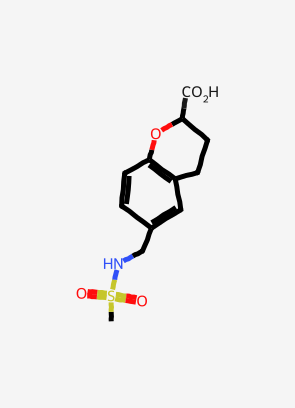 CS(=O)(=O)NCc1ccc2c(c1)CCC(C(=O)O)O2